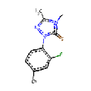 Cn1c(C(F)(F)F)nn(-c2ccc(C#N)cc2F)c1=S